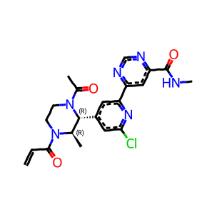 C=CC(=O)N1CCN(C(C)=O)[C@H](c2cc(Cl)nc(-c3cc(C(=O)NC)ncn3)c2)[C@H]1C